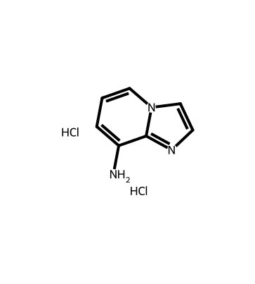 Cl.Cl.Nc1cccn2ccnc12